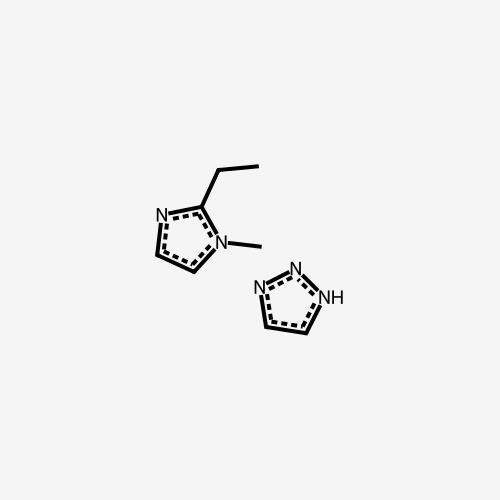 CCc1nccn1C.c1c[nH]nn1